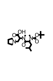 CC(C)CC(C(=O)N(C)C(CN1CCCC1)C(=O)O)N(C)C(=O)OC(C)(C)C